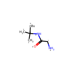 CCCCC(C)(C)NC(=O)CN